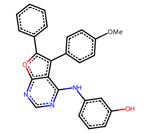 COc1ccc(-c2c(-c3ccccc3)oc3ncnc(Nc4cccc(O)c4)c23)cc1